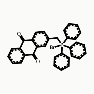 O=C1c2ccccc2C(=O)c2cc(CP(Br)(c3ccccc3)(c3ccccc3)c3ccccc3)ccc21